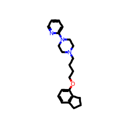 c1ccc(N2CCN(CCCCOc3cccc4c3CCC4)CC2)nc1